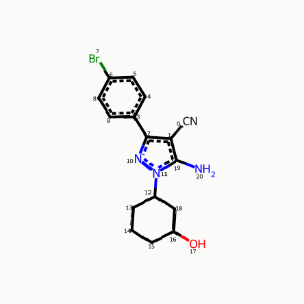 N#Cc1c(-c2ccc(Br)cc2)nn(C2CCCC(O)C2)c1N